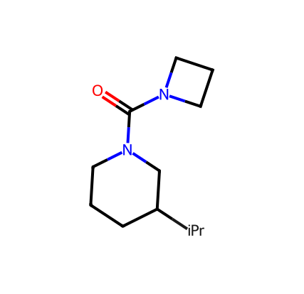 CC(C)C1CCCN(C(=O)N2CCC2)C1